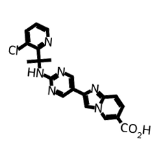 CC(C)(Nc1ncc(-c2cn3cc(C(=O)O)ccc3n2)cn1)c1ncccc1Cl